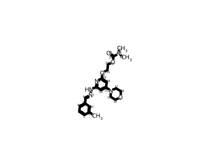 Cc1cccc(C=NNc2cc(N3CCOCC3)cc(OCCOC(=O)N(C)C)n2)c1